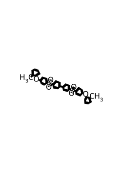 Cc1ccccc1Oc1ccc(S(=O)(=O)c2ccc(-c3ccc(S(=O)(=O)c4ccc(Oc5ccccc5C)cc4)cc3)cc2)cc1